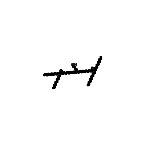 CCCCCCCCCCN(CCCCCCCCCC)C(=O)CCCCCCCCCN(CCCCO)CCCCCCCCCC(=O)N(CCCCCCCCCC)CCCCCCCCCC